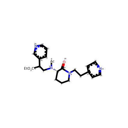 CCOC(=O)C(CN(C(C)=O)[C@H]1CCCN(CCc2ccncc2)C1=O)c1cccnc1